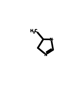 CC1CN=C[N]1